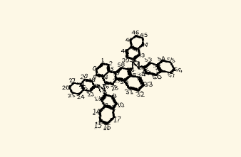 c1ccc2c(c1)c(N(c1ccc3c(c1)CCCC3)c1ccc3c(c1)CCCC3)cc1c3ccccc3c(N(c3ccc4c(c3)CCCC4)c3ccc4c(c3)CCCC4)cc21